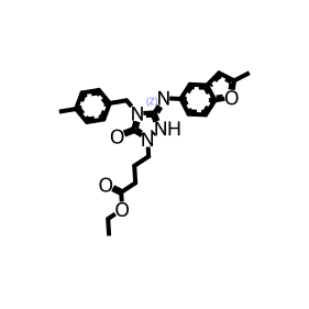 CCOC(=O)CCCn1[nH]/c(=N\c2ccc3oc(C)cc3c2)n(Cc2ccc(C)cc2)c1=O